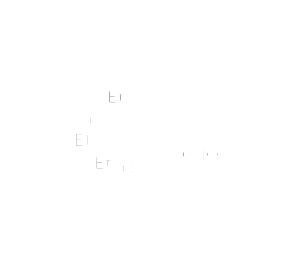 CCOC(C=CC=CC=O)CC.CC[O]